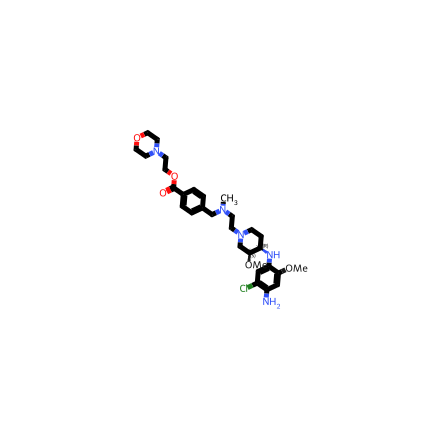 COc1cc(N)c(Cl)cc1N[C@@H]1CCN(CCN(C)Cc2ccc(C(=O)OCCN3CCOCC3)cc2)C[C@@H]1OC